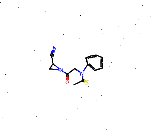 CC(=S)N(CC(=O)N1CC1C#N)c1ccccc1